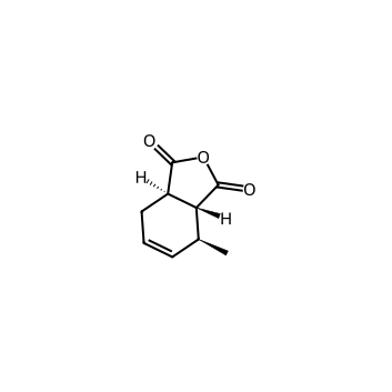 C[C@H]1C=CC[C@H]2C(=O)OC(=O)[C@H]12